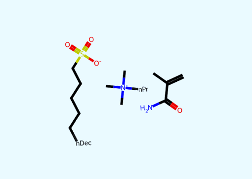 C=C(C)C(N)=O.CCCCCCCCCCCCCCCS(=O)(=O)[O-].CCC[N+](C)(C)C